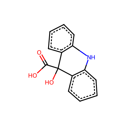 O=C(O)C1(O)c2ccccc2Nc2ccccc21